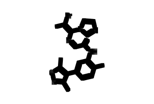 C=C(/C=N\C(=C(/C)Br)n1ccnc1)Nc1cc(-c2c(C)noc2C)ccc1C